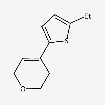 CCc1ccc(C2=CCOCC2)s1